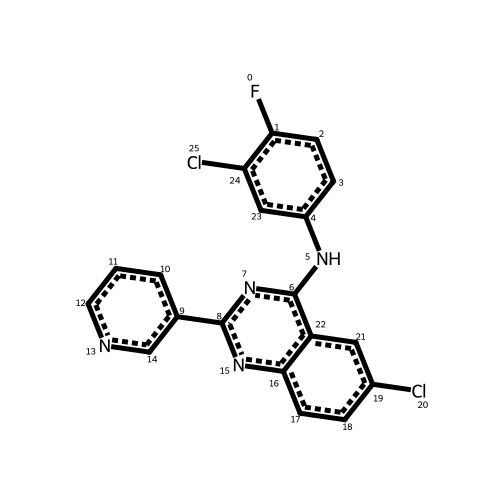 Fc1ccc(Nc2nc(-c3cccnc3)nc3ccc(Cl)cc23)cc1Cl